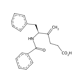 C=C(CCC(=O)O)[C@H](Cc1ccccc1)NC(=O)c1ccccc1